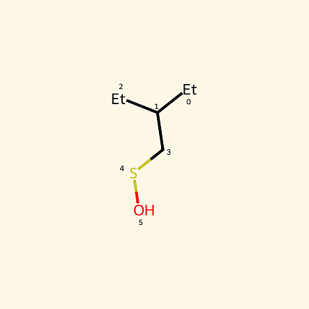 CCC(CC)CSO